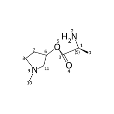 C[C@H](N)C(=O)OC1CCN(C)C1